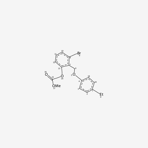 CCc1ccc(OCc2c(Br)cccc2OC(=O)OC)cc1